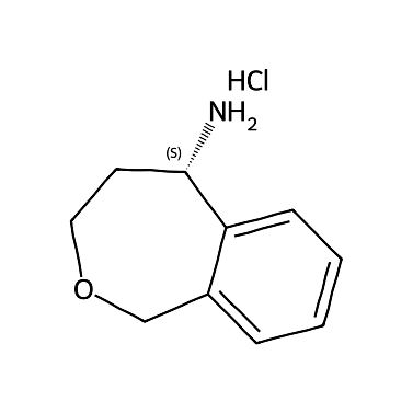 Cl.N[C@H]1CCOCc2ccccc21